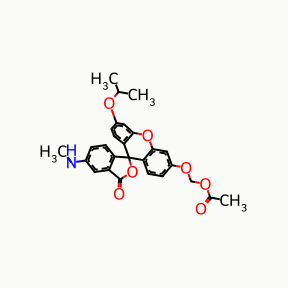 CNc1ccc2c(c1)C(=O)OC21c2ccc(OCOC(C)=O)cc2Oc2cc(OC(C)C)ccc21